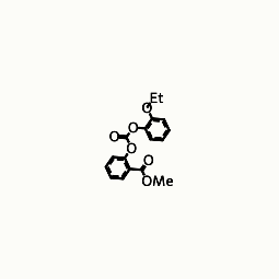 CCOc1ccccc1OC(=O)Oc1ccccc1C(=O)OC